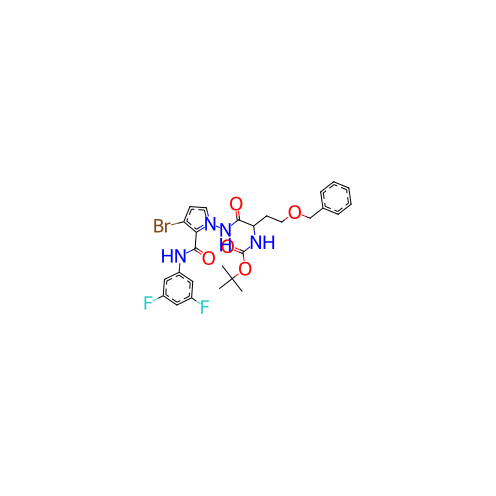 CC(C)(C)OC(=O)NC(CCOCc1ccccc1)C(=O)Nn1ccc(Br)c1C(=O)Nc1cc(F)cc(F)c1